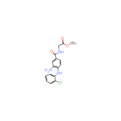 CC(C)(C)OC(=O)CNC(=O)c1ccc(Nc2ccccc2Cl)c(N)c1